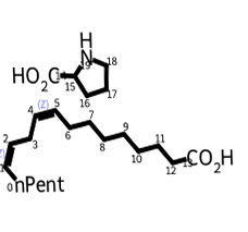 CCCCC/C=C\C/C=C\CCCCCCCC(=O)O.O=C(O)C1CCCN1